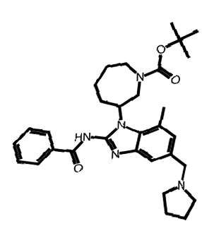 Cc1cc(CN2CCCC2)cc2nc(NC(=O)c3ccccc3)n(C3CCCCN(C(=O)OC(C)(C)C)C3)c12